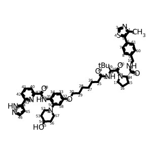 Cc1ncsc1-c1ccc(CNC(=O)[C@@H]2CCCN2C(=O)[C@@H](NC(=O)CCCCCCOc2ccc(NC(=O)c3cccc(-c4ccn[nH]4)n3)c(N3CCC(O)CC3)c2)C(C)(C)C)cc1